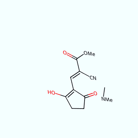 CNC.COC(=O)/C(C#N)=C/C1=C(O)CCC1=O